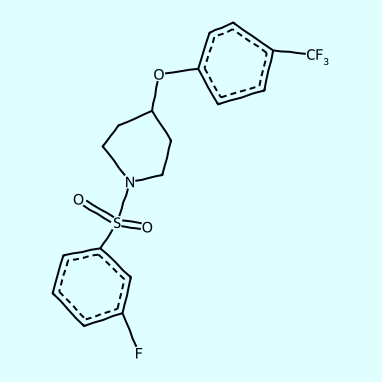 O=S(=O)(c1cccc(F)c1)N1CCC(Oc2ccc(C(F)(F)F)cc2)CC1